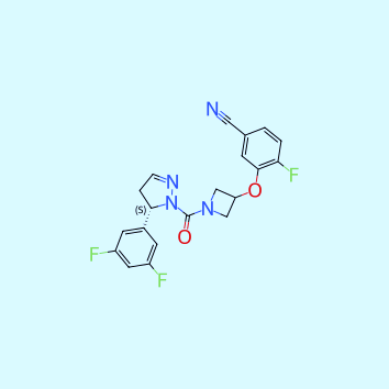 N#Cc1ccc(F)c(OC2CN(C(=O)N3N=CC[C@H]3c3cc(F)cc(F)c3)C2)c1